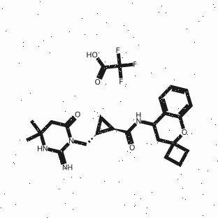 CC1(C)CC(=O)N(C[C@@H]2C[C@H]2C(=O)NC2CC3(CCC3)Oc3ccccc32)C(=N)N1.O=C(O)C(F)(F)F